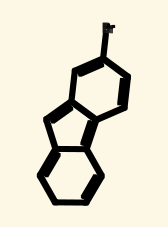 Brc1ccc2c(c1)=CC1=CCC=CC=21